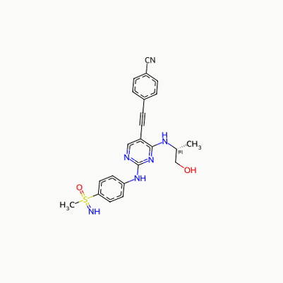 C[C@H](CO)Nc1nc(Nc2ccc(S(C)(=N)=O)cc2)ncc1C#Cc1ccc(C#N)cc1